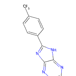 FC(F)(F)c1ccc(-c2nc3nccnc3[nH]2)cc1